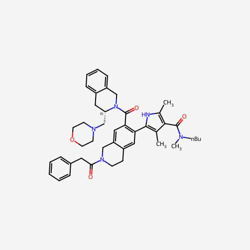 CCCCN(C)C(=O)c1c(C)[nH]c(-c2cc3c(cc2C(=O)N2Cc4ccccc4C[C@H]2CN2CCOCC2)CN(C(=O)Cc2ccccc2)CC3)c1C